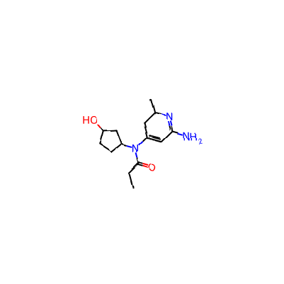 CCC(=O)N(C1=CC(N)=NC(C)C1)C1CCC(O)C1